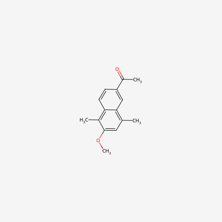 COc1cc(C)c2cc(C(C)=O)ccc2c1C